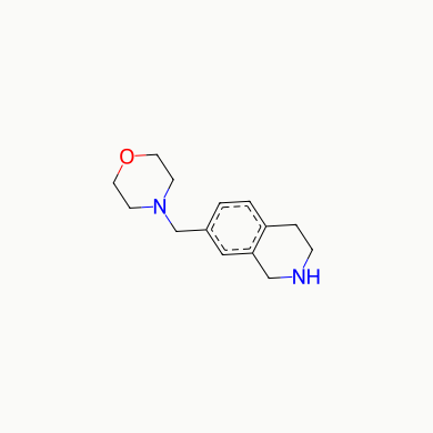 c1cc2c(cc1CN1CCOCC1)CNCC2